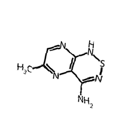 Cc1cnc2c(n1)C(N)=NSN2